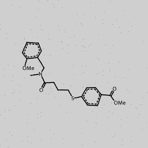 COC(=O)c1ccc(SCCCC(=O)N(C)Cc2ccccc2OC)cc1